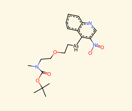 CN(CCOCC[AsH]c1c([N+](=O)[O-])cnc2ccccc12)C(=O)OC(C)(C)C